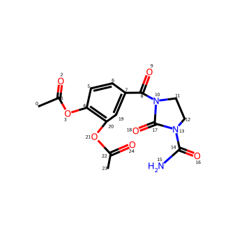 CC(=O)Oc1ccc(C(=O)N2CCN(C(N)=O)C2=O)cc1OC(C)=O